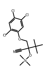 CC(C)(C)C(C#N)(COc1cc(Cl)c(Cl)cc1Cl)O[Si](C)(C)C